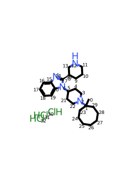 CC1(N2CCC(n3c([C@@H]4CCCNC4)nc4ccccc43)CC2)CCCCCCC1.Cl.Cl.Cl